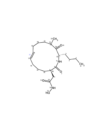 CCCC[C@@H]1NC(=O)[C@@H](CC(=O)NO)CCC/C=C/CCCN(C)C1=O